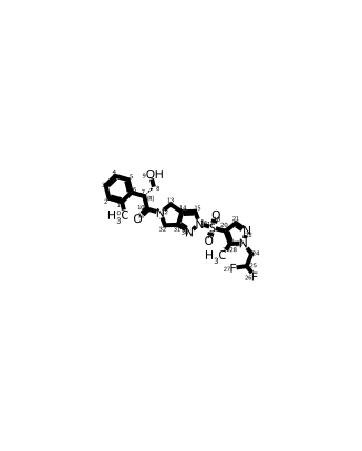 Cc1ccccc1[C@H](CO)C(=O)N1Cc2cn(S(=O)(=O)c3cnn(CC(F)F)c3C)nc2C1